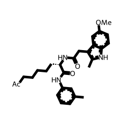 COc1ccc2[nH]c(C)c(CC(=O)N[C@@H](CCCCCC(C)=O)C(=O)Nc3cccc(C)c3)c2c1